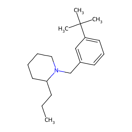 CCCC1CCCCN1Cc1cccc(C(C)(C)C)c1